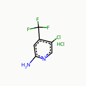 Cl.Nc1cc(C(F)(F)F)c(Cl)cn1